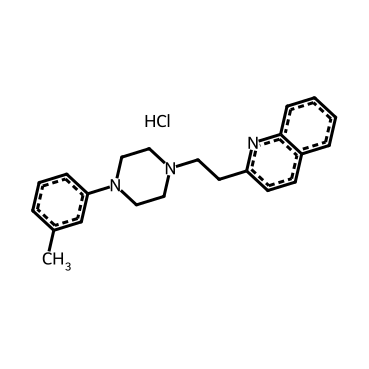 Cc1cccc(N2CCN(CCc3ccc4ccccc4n3)CC2)c1.Cl